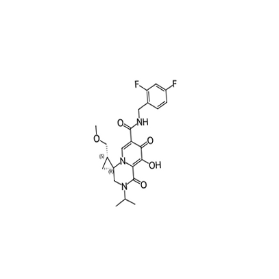 COC[C@H]1C[C@]12CN(C(C)C)C(=O)c1c(O)c(=O)c(C(=O)NCc3ccc(F)cc3F)cn12